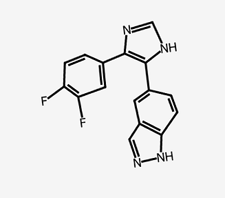 Fc1ccc(-c2nc[nH]c2-c2ccc3[nH]ncc3c2)cc1F